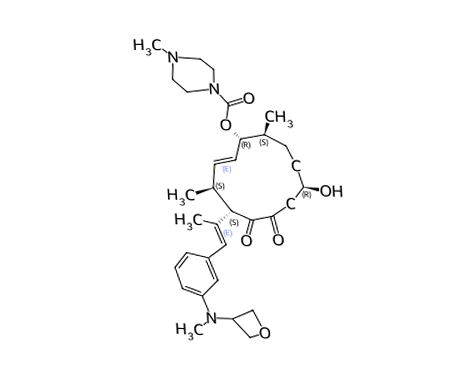 C/C(=C\c1cccc(N(C)C2COC2)c1)[C@H]1C(=O)C(=O)C[C@H](O)CC[C@H](C)[C@@H](OC(=O)N2CCN(C)CC2)/C=C/[C@@H]1C